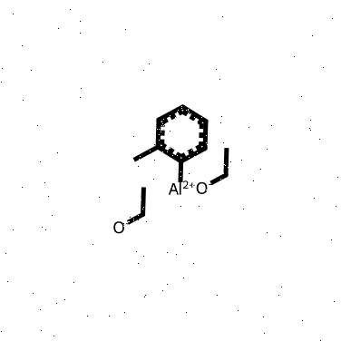 CC[O-].CC[O-].Cc1cccc[c]1[Al+2]